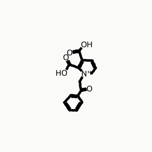 O=C(C[n+]1cccc(C(=O)O)c1C(=O)O)c1ccccc1